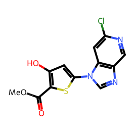 COC(=O)c1sc(-n2cnc3cnc(Cl)cc32)cc1O